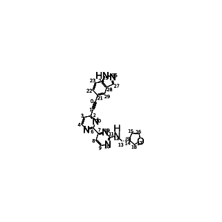 C(#Cc1ccnc(-c2ccnc(NC[C@@H]3CCOC3)n2)n1)c1ccc2[nH]ncc2c1